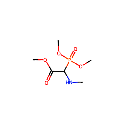 CNC(C(=O)OC)P(=O)(OC)OC